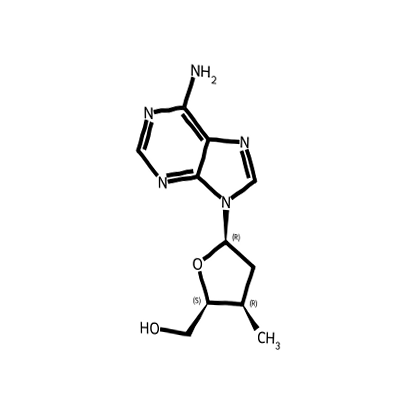 C[C@@H]1C[C@H](n2cnc3c(N)ncnc32)O[C@@H]1CO